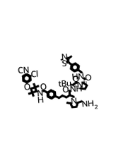 Cc1ncsc1-c1ccc(CNC(=O)[C@@H]2CCCN2C(=O)[C@@H](NC(=O)C(CCCc2ccc(C(=O)N[C@H]3C(C)(C)[C@H](Oc4ccc(C#N)c(Cl)c4)C3(C)C)cc2)CN2C(C)CCC2CN)C(C)(C)C)cc1